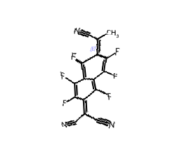 C/C(C#N)=c1\c(F)c(F)c2c(F)c(=C(C#N)C#N)c(F)c(F)c2c1F